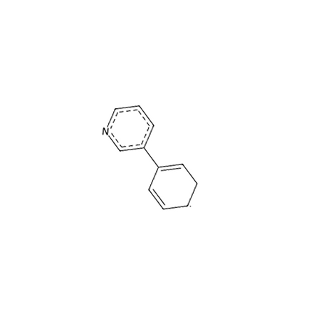 [CH]1C=CC(c2cccnc2)=CC1